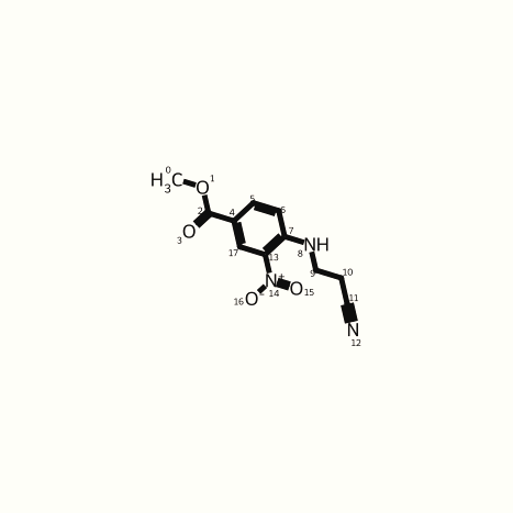 COC(=O)c1ccc(NCCC#N)c([N+](=O)[O-])c1